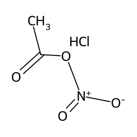 CC(=O)O[N+](=O)[O-].Cl